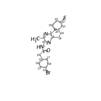 Cc1nc2c(nc1NC(=O)Cc1ccc(Br)cc1)CCc1cc(F)ccc1-2